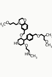 CNCCO[C@@H]1CNC[C@H](OCc2ccc3c(c2)N(CCCOC)CCO3)C1c1ccc(COC[C@@H](C)COC)cc1